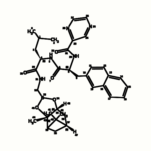 CC(C)C[C@H](NC(=O)[C@H](Cc1ccc2ccccc2c1)NC(=O)c1cnccn1)C(=O)NCB1O[C@@H]2C[C@@H]3CC(C3(C)C)[C@]2(C)O1